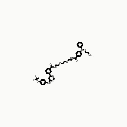 NCCOB(c1ccccc1)c1ccc(C(=O)NCCOCCOCCNC(=O)c2cccc(-c3cc(Nc4ccc(OC(F)(F)F)cc4)ncn3)c2)cc1